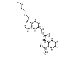 CCCCCCOc1ccc(/C=C/C(=O)Nc2ccccc2C(=O)O)cc1OC